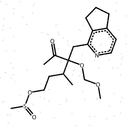 COCOC(Cc1nccc2c1CCC2)(C(C)=O)C(C)CCOS(C)=O